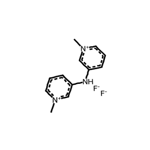 C[n+]1cccc(Nc2ccc[n+](C)c2)c1.[F-].[F-]